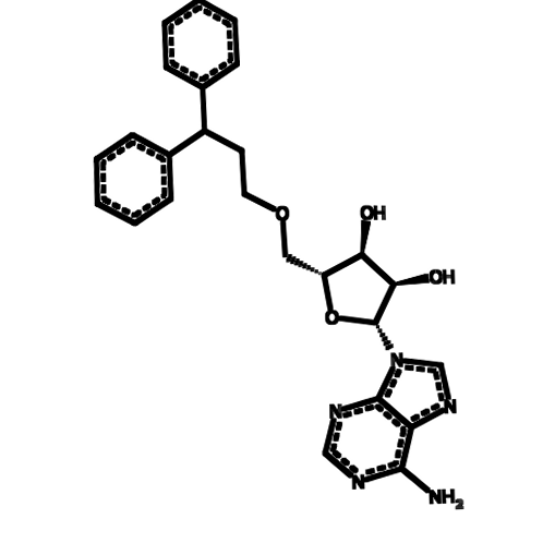 Nc1ncnc2c1ncn2[C@@H]1O[C@H](COCCC(c2ccccc2)c2ccccc2)[C@@H](O)[C@H]1O